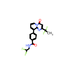 CC(F)(F)c1cc(=O)n2cccc(-c3ccc(C(=O)NCC(F)F)cc3)c2n1